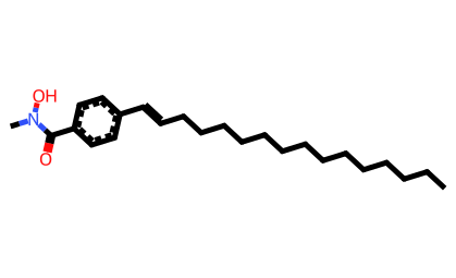 CCCCCCCCCCCCCCC=Cc1ccc(C(=O)N(C)O)cc1